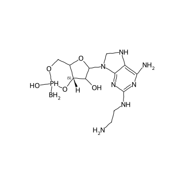 B[PH]1(O)OCC2OC(N3CNc4c(N)nc(NCCN)nc43)C(O)[C@@H]2O1